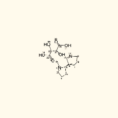 CN1CCC[C@@H]1c1cccnc1.O=C(O)C(O)C(O)C(=O)O